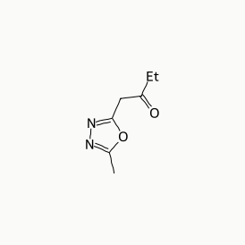 CCC(=O)Cc1nnc(C)o1